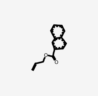 C=CCOC(=O)c1ccc2ccccc2c1